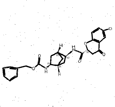 O=C(N[C@H]1C[C@H]2C[C@@H]1C[C@@H]2NC(=O)[C@H]1CC(=O)c2cc(Cl)ccc2O1)OCc1ccccc1